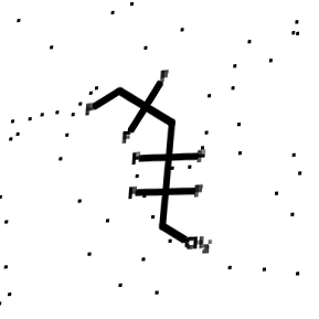 [CH2]CC(F)(F)C(F)(F)CC(F)(F)CF